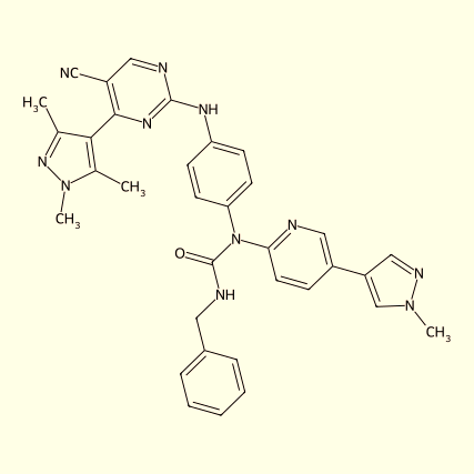 Cc1nn(C)c(C)c1-c1nc(Nc2ccc(N(C(=O)NCc3ccccc3)c3ccc(-c4cnn(C)c4)cn3)cc2)ncc1C#N